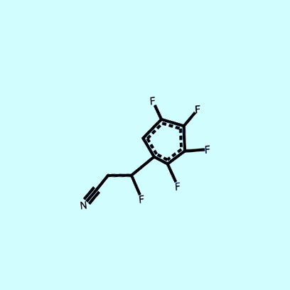 N#CCC(F)c1cc(F)c(F)c(F)c1F